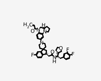 C=CC(=O)N1C[C@@H]2CCCN2c2cc(N3CCC4(CC3)C[C@@H](CC(=O)N[C@H](Cc3ccc(F)c(F)c3)[C@H]3CCOC3)c3ccc(F)cc34)ccc21